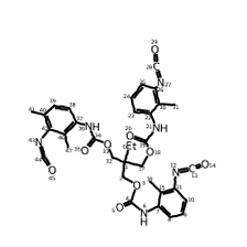 CCC(COC(=O)Nc1cccc(N=C=O)c1C)(COC(=O)Nc1cccc(N=C=O)c1C)COC(=O)Nc1ccc(C)c(N=C=O)c1C